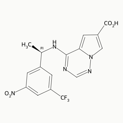 C[C@@H](Nc1ncnn2cc(C(=O)O)cc12)c1cc([N+](=O)[O-])cc(C(F)(F)F)c1